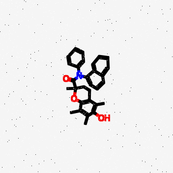 Cc1c(C)c2c(c(C)c1O)CCC(C)(C(=O)N(c1ccccc1)c1cccc3ccccc13)O2